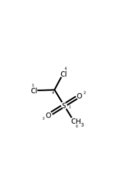 CS(=O)(=O)C(Cl)Cl